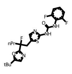 CCCC(F)(Cc1cnc(NC(=O)Nc2c(F)cccc2F)s1)c1ncc(C(C)(C)C)o1